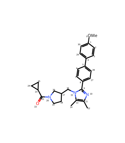 COc1ccc(-c2ccc(-c3nc(C)c(C)n3CC3CCN(C(=O)C4CC4)C3)cc2)cc1